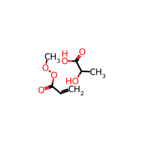 C=CC(=O)OOC.CC(O)C(=O)O